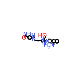 NC(=O)c1ccc2c(c1)ncn2CC#Cc1cnc(N2CCC3(CC2)Cc2ccccc2[C@H]3N)c(CO)n1